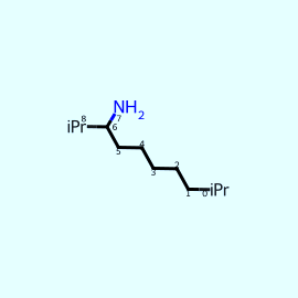 CC(C)CCCCCC(N)C(C)C